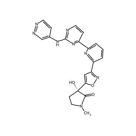 CN1CC[C@@](O)(c2cc(-c3cccc(-c4ccnc(Nc5ccnnc5)n4)n3)no2)C1=O